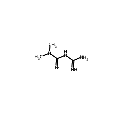 CN(C)C(=[N])NC(=N)N